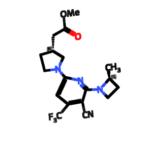 COC(=O)C[C@H]1CCN(c2cc(C(F)(F)F)c(C#N)c(N3CC[C@@H]3C)n2)C1